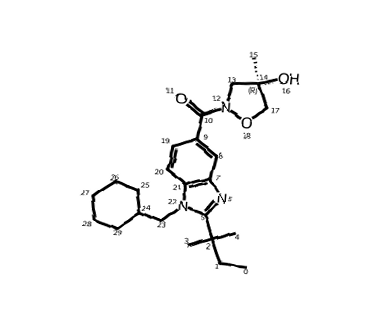 CCC(C)(C)c1nc2cc(C(=O)N3C[C@@](C)(O)CO3)ccc2n1CC1CCCCC1